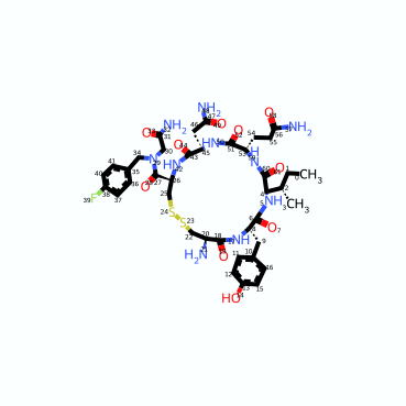 CC[C@H](C)[C@@H]1NC(=O)[C@H](Cc2ccc(O)cc2)NC(=O)[C@@H](N)CSSC[C@@H](C(=O)N(CC(N)=O)Cc2ccc(F)cc2)NC(=O)[C@H](CC(N)=O)NC(=O)[C@H](CCC(N)=O)NC1=O